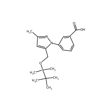 Cc1cc(CO[Si](C)(C)C(C)(C)C)n(-c2cccc(C(=O)O)c2)n1